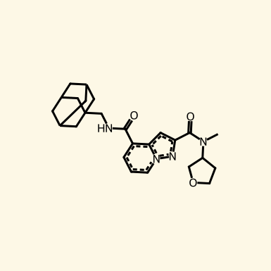 CN(C(=O)c1cc2c(C(=O)NCC34CC5CC(CC(C5)C3)C4)cccn2n1)C1CCOC1